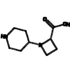 O=C(O)C1CCN1C1CCNCC1